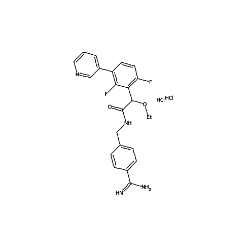 CCOC(C(=O)NCc1ccc(C(=N)N)cc1)c1c(F)ccc(-c2cccnc2)c1F.Cl.Cl